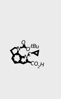 CC(C)(C)OC(=O)N1CCc2ccc3cc(C(=O)O)n(CC4CC4)c3c21